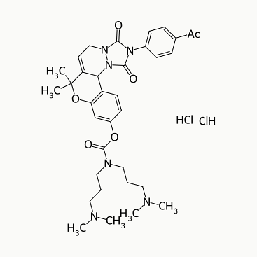 CC(=O)c1ccc(-n2c(=O)n3n(c2=O)C2C(=CC3)C(C)(C)Oc3cc(OC(=O)N(CCCN(C)C)CCCN(C)C)ccc32)cc1.Cl.Cl